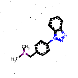 CP(C)Cc1ccc(-n2nnc3ccccc32)cc1